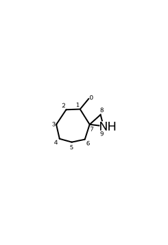 CC1CCCCCC12CN2